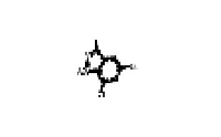 CCc1cc(Cl)c2[nH]nc(C)c2c1